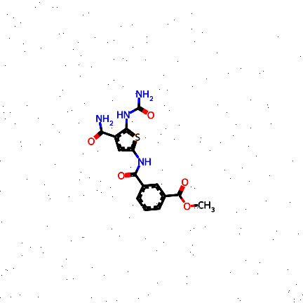 COC(=O)c1cccc(C(=O)Nc2cc(C(N)=O)c(NC(N)=O)s2)c1